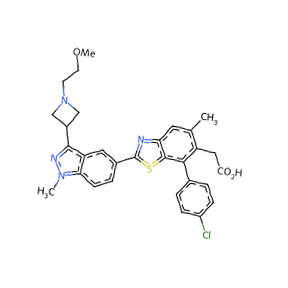 COCCN1CC(c2nn(C)c3ccc(-c4nc5cc(C)c(CC(=O)O)c(-c6ccc(Cl)cc6)c5s4)cc23)C1